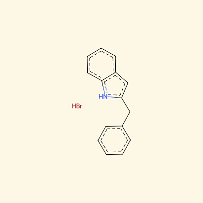 Br.c1ccc(Cc2cc3ccccc3[nH]2)cc1